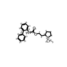 CN1CCCC1CCOC(=O)Nc1ccccc1-c1ccccc1